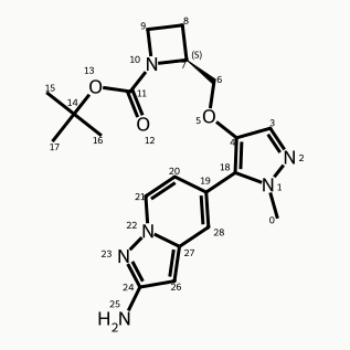 Cn1ncc(OC[C@@H]2CCN2C(=O)OC(C)(C)C)c1-c1ccn2nc(N)cc2c1